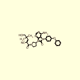 CC(C)(C=C(C#N)C(=O)N1CCC(n2c(=O)n(-c3ccc(Oc4ccccc4)cc3)c3c(N)ncnc32)C1)CO